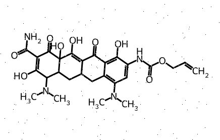 C=CCOC(=O)Nc1cc(N(C)C)c2c(c1O)C(=O)C1=C(O)C3(O)C(=O)C(C(N)=O)=C(O)C(N(C)C)C3CC1C2